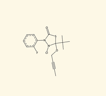 CC#CCOC1(C(C)(C)C)SC(=O)N(c2ccccc2F)N1Cl